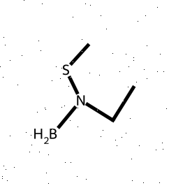 BN(CC)SC